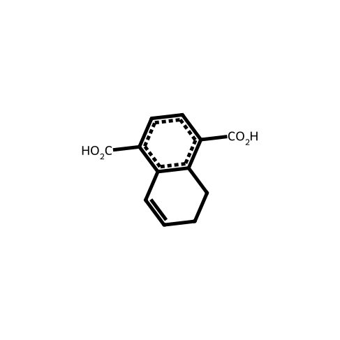 O=C(O)c1ccc(C(=O)O)c2c1C=CCC2